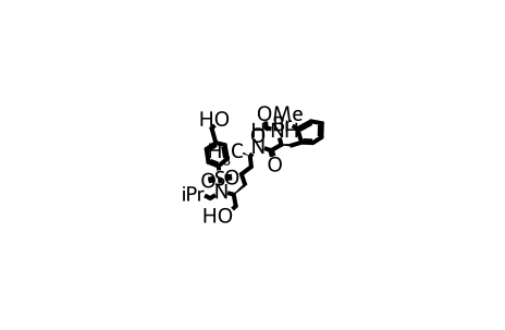 COC(=O)N[C@@H](Cc1ccccc1Br)C(=O)N[C@@H](C)CCC[C@@H](CO)N(CC(C)C)S(=O)(=O)c1ccc(CO)cc1